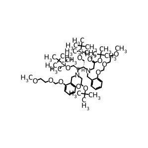 COCCOCOc1ccccc1CN(CC(=O)OC(C)(C)C)[C@@H](CO[Si](C)(C)C(C)(C)C)[C@H](CO[Si](C)(C)C(C)(C)C)N(CC(=O)OC(C)(C)C)Cc1ccccc1OCOCCOC